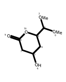 COC(OC)C1CC(O)CC(=O)O1